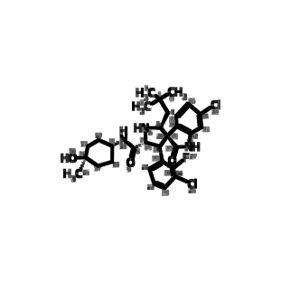 CC(C)(C)C[C@@H]1N[C@@H](C(=O)N[C@H]2CC[C@](C)(O)CC2)[C@H](c2cccc(Cl)c2F)[C@]12C(=O)Nc1cc(Cl)ccc12